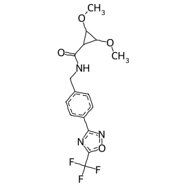 COC1C(OC)C1C(=O)NCc1ccc(-c2noc(C(F)(F)F)n2)cc1